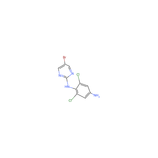 Nc1cc(Cl)c(Nc2ncc(Br)cn2)c(Cl)c1